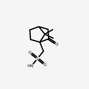 CC1(C)C2CCC1(CS([NH])(=O)=O)C(=O)C2